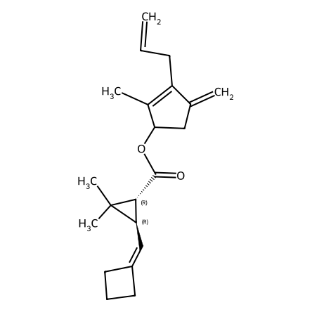 C=CCC1=C(C)C(OC(=O)[C@@H]2[C@@H](C=C3CCC3)C2(C)C)CC1=C